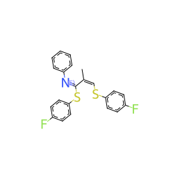 CC(=CSc1ccc(F)cc1)/C(=N\c1ccccc1)Sc1ccc(F)cc1